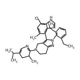 CCc1cccc(CC)c1-n1nc2c(c1-c1c(C)cc(Cl)c3[nH]ccc13)CN(C1=NC=C(C(C)C)CC1C)CC2